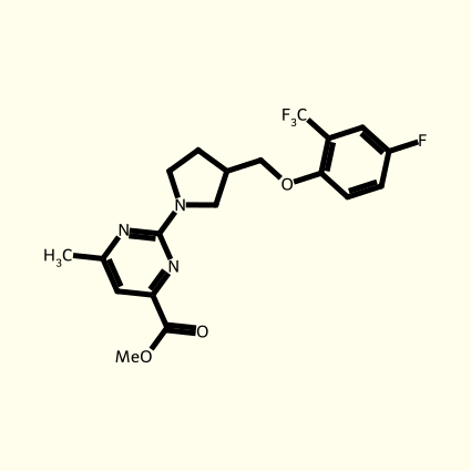 COC(=O)c1cc(C)nc(N2CCC(COc3ccc(F)cc3C(F)(F)F)C2)n1